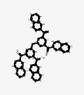 C=C(c1cc(Cc2cc(C(=O)c3ccc4ccccc4c3)cc(C(=O)c3ccc4ccccc4c3)c2)cc(C(=O)c2ccc3ccccc3c2)c1)c1ccc2ccccc2c1